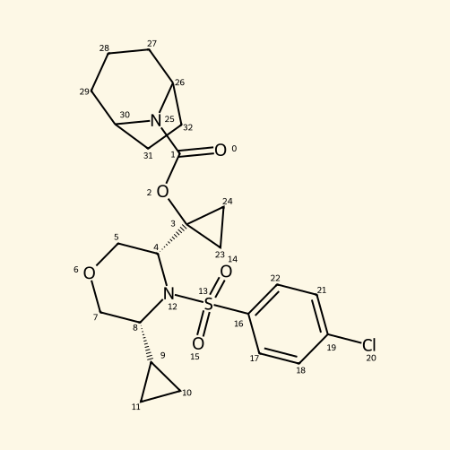 O=C(OC1([C@H]2COC[C@@H](C3CC3)N2S(=O)(=O)c2ccc(Cl)cc2)CC1)N1C2CCCC1CC2